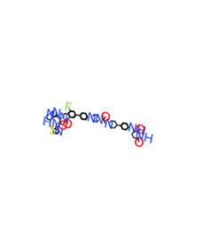 O=C1CCC(Nc2ccc(C3CCN(CC(=O)N4CCN(c5ccc(-c6cc(F)c7c(c6)C(=O)N(C(C(=O)Nc6nccs6)c6ncn8c6CCC8)C7)cc5)CC4)CC3)cc2)C(=O)N1